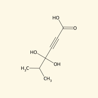 CC(C)C(O)(O)C#CC(=O)O